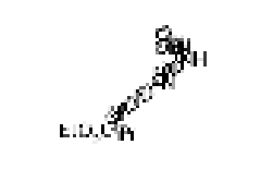 CCOC(=O)C(c1cc(N2CCC(N3CCC(c4cnc(N5CCc6[nH]c7nnc(-c8ccccc8O)cc7c6[C@@H]5C)nc4)CC3)CC2)no1)C(C)C